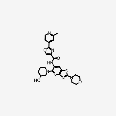 Cc1cc(-c2nc(C(=O)Nc3cc4sc(N5CCOCC5)nc4nc3N3CCC[C@H](O)C3)co2)ccn1